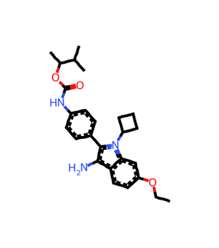 CCOc1ccc2c(N)c(-c3ccc(NC(=O)OC(C)C(C)C)cc3)n(C3CCC3)c2c1